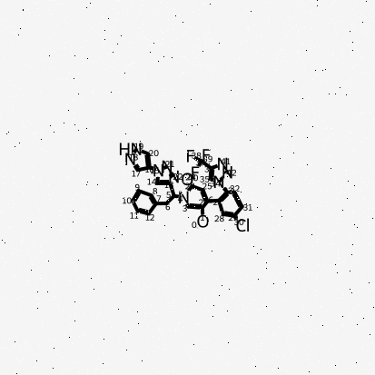 COc1cn(C(Cc2ccccc2)c2cn(-c3cn[nH]c3)nn2)c(=O)cc1-c1cc(Cl)ccc1-n1cc(C(F)(F)F)nn1